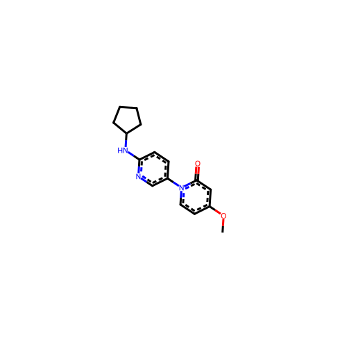 COc1ccn(-c2ccc(NC3CCCC3)nc2)c(=O)c1